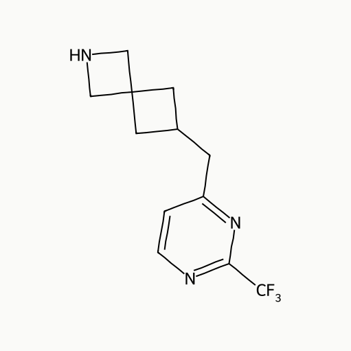 FC(F)(F)c1nccc(CC2CC3(CNC3)C2)n1